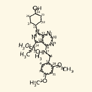 COc1ccc(CNc2ncnc3c2[c]([Sn]([CH3])([CH3])[CH3])nn3C2CCC(O)CC2)c(OC)c1